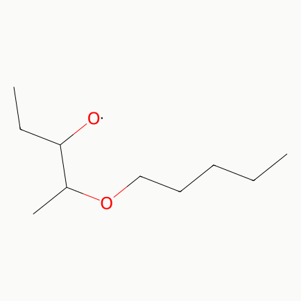 CCCCCOC(C)C([O])CC